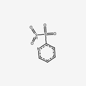 O=[SH](=O)S(=O)(=O)c1ccccn1